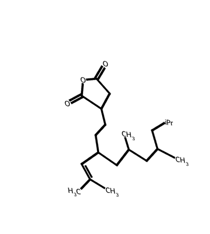 CC(C)=CC(CCC1CC(=O)OC1=O)CC(C)CC(C)CC(C)C